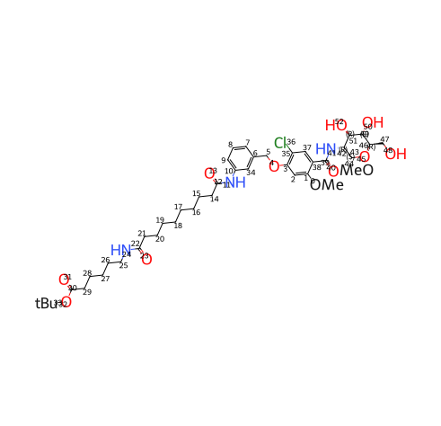 COc1cc(OCc2cccc(NC(=O)CCCCCCCCC(=O)NCCCCCC(=O)OC(C)(C)C)c2)c(Cl)cc1C(=O)N[C@H]1[C@@H](OC)O[C@H](CO)[C@@H](O)[C@@H]1O